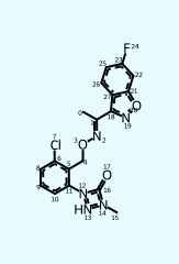 C/C(=N\OCc1c(Cl)cccc1-n1[nH]n(C)c1=O)c1noc2cc(F)ccc12